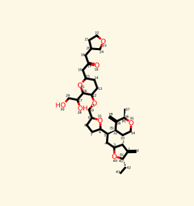 C=C1CC(CC(C2CCC(COC3CCC(CC(=O)CC4CCOC4)OC3C(O)CO)O2)[C@@H]2CCO[C@H](C)C2=C)O[C@H]1CC